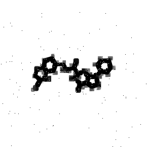 O=C1COc2ccc(CNC(=O)c3nc4c(cnn4-c4ccccc4)c(=O)[nH]3)cc2N1